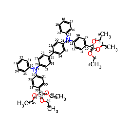 CCO[Si](OCC)(OCC)c1ccc(N(c2ccccc2)c2ccc(-c3ccc(N(c4ccccc4)c4ccc([Si](OCC)(OCC)OCC)cc4)cc3)cc2)cc1